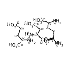 NC(=O)CC[C@H](N)C(=O)O.N[C@@H](CC(=O)O)C(=O)O.N[C@@H](CCC(=O)O)C(=O)O